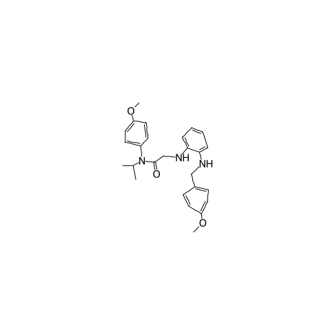 COc1ccc(CNc2ccccc2NCC(=O)N(c2ccc(OC)cc2)C(C)C)cc1